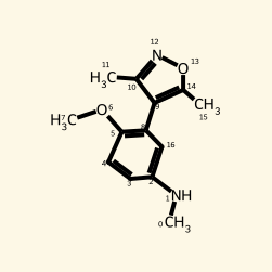 CNc1ccc(OC)c(-c2c(C)noc2C)c1